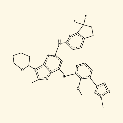 COc1c(Nc2cc(Nc3ccc4c(n3)C(F)(F)CC4)nc3c2nc(C)n3C2CCCCO2)cccc1-c1cnn(C)n1